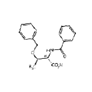 CC(OCc1ccccc1)[C@H](NC(=O)c1ccccc1)C(=O)O